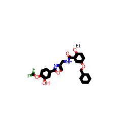 CCOc1ccc(OCc2ccccc2)cc1C(=O)NCc1coc(-c2ccc(OC(F)F)c(O)c2)n1